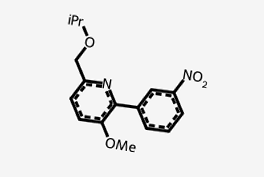 COc1ccc(COC(C)C)nc1-c1cccc([N+](=O)[O-])c1